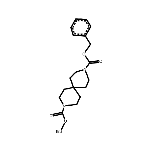 CC(C)(C)OC(=O)N1CCC2(CCN(C(=O)OCc3ccccc3)CC2)CC1